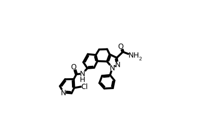 NC(=O)c1nn(-c2ccccc2)c2c1CCc1ccc(NC(=O)c3ccncc3Cl)cc1-2